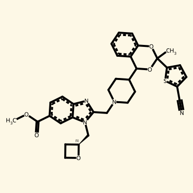 COC(=O)c1ccc2nc(CN3CCC(C4OC(C)(c5ccc(C#N)s5)Oc5ccccc54)CC3)n(C[C@@H]3CCO3)c2c1